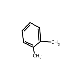 [CH2]c1ccccc1C